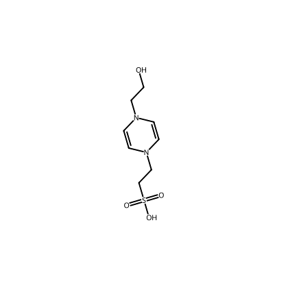 O=S(=O)(O)CCN1C=CN(CCO)C=C1